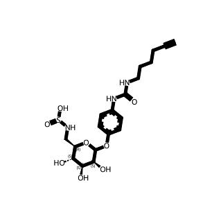 C#CCCCCNC(=O)Nc1ccc(OC2O[C@H](CNS(=O)O)[C@@H](O)[C@H](O)[C@@H]2O)cc1